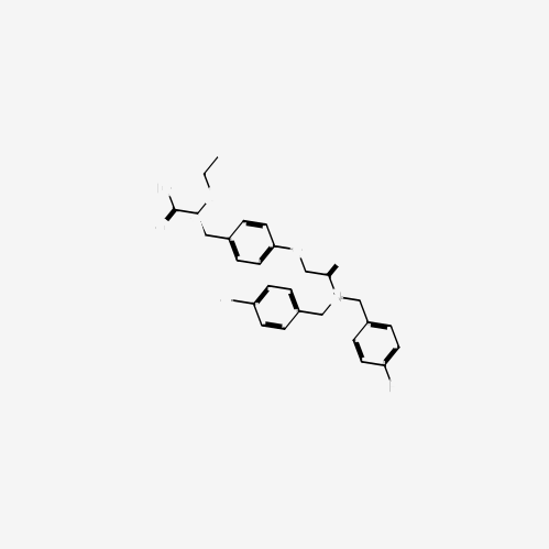 CCO[C@@H](Cc1ccc(OCC(=O)N(Cc2ccc(F)cc2)Cc2ccc(Cl)cc2)cc1)C(=O)O